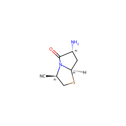 N#C[C@@H]1CS[C@@H]2C[C@@H](N)C(=O)N12